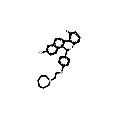 O=C(c1ccc(OCCN2CCCCCC2)cc1)c1c(-c2c(F)cccc2F)ccc2cc(O)ccc12